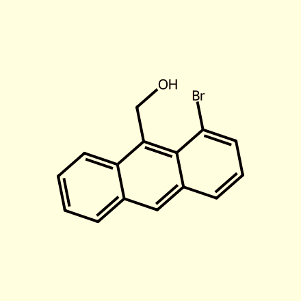 OCc1c2ccccc2cc2cccc(Br)c12